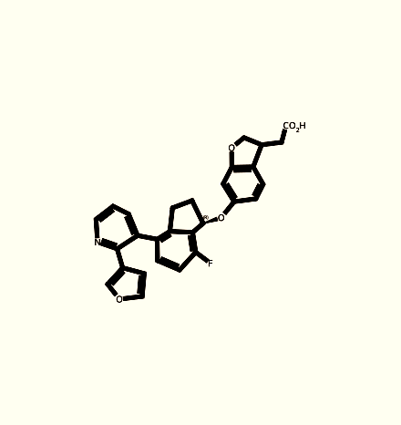 O=C(O)CC1COc2cc(O[C@@H]3CCc4c(-c5cccnc5-c5ccoc5)ccc(F)c43)ccc21